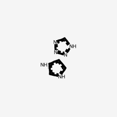 N.c1cc[nH]c1.c1nnn[nH]1